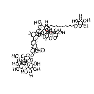 CCC1O[C@@H](OCCCCCCCCCCCC(=O)N[C@H]2C(CO)O[C@@H](OC(=O)[C@]34CCC(C)(C)CC3C3=CCC5C6(C)CC[C@H](O[C@@H]7OC(C(=O)O)[C@@H](O)[C@H](O[C@@H]8OC[C@@H](O)[C@H](O)C8O)C7O[C@@H]7OC(CO)[C@H](O)[C@H](O)C7O)[C@](C)(C=O)[C@@H]6CC[C@]5(C)[C@]3(C)CC4O)C(O[C@@H]3OC(C)[C@H](O[C@@H]4OC[C@@H](O)C(O)C4O)C(O)C3O)C2O)C(O)C(O)[C@H]1O